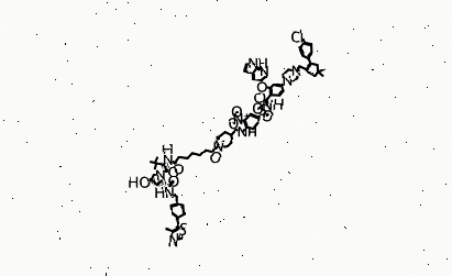 Cc1ncsc1-c1ccc(CNC(=O)[C@@H]2C[C@@H](O)CN2C(=O)[C@@H](NC(=O)CCCCCC(=O)N2CCC(CNc3ccc(S(=O)(=O)NC(=O)c4ccc(N5CCN(CC6=C(c7ccc(Cl)cc7)CC(C)(C)CC6)CC5)cc4Oc4cnc5[nH]ccc5c4)cc3[N+](=O)[O-])CC2)C(C)(C)C)cc1